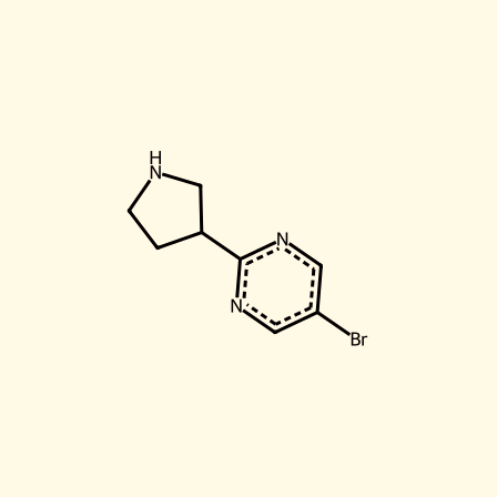 Brc1cnc(C2CCNC2)nc1